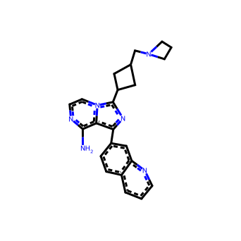 Nc1nccn2c(C3CC(CN4CCC4)C3)nc(-c3ccc4cccnc4c3)c12